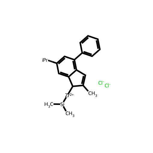 CC1=Cc2c(-c3ccccc3)cc(C(C)C)cc2[CH]1[Zr+2][Si](C)C.[Cl-].[Cl-]